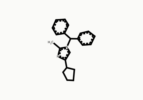 Cc1nc(C2CCCC2)cn1C(c1ccccc1)c1ccccc1